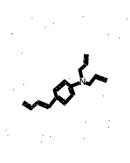 C=CC=Cc1ccc(N(CC=C)CC=C)cc1